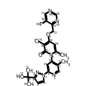 Cc1cnc(-n2ccc(C(C)(C)O)n2)cc1-n1c(C)cc(OCc2ncncc2F)c(Cl)c1=O